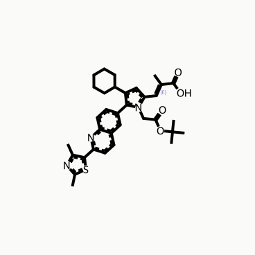 C/C(=C\c1cc(C2CCCCC2)c(-c2ccc3nc(-c4sc(C)nc4C)ccc3c2)n1CC(=O)OC(C)(C)C)C(=O)O